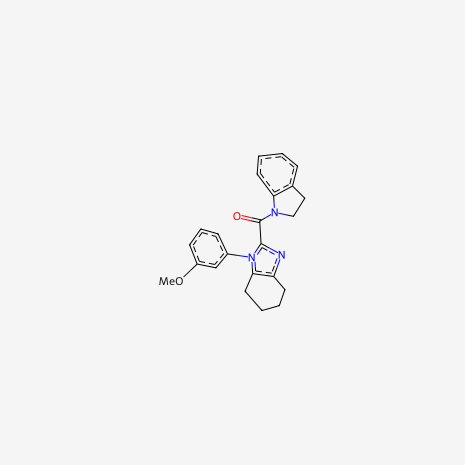 COc1cccc(-n2c(C(=O)N3CCc4ccccc43)nc3c2CCCC3)c1